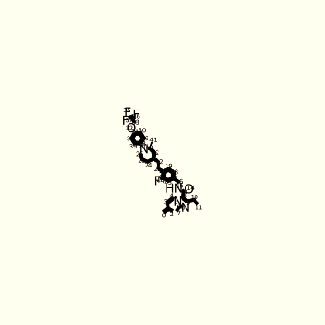 C=C(C)/C=C\n1c(C)nc(CC)c1C(=O)NCc1ccc(CCC2CCCN(c3ccc(OCC(F)(F)F)cc3)[C@@H](C)C2)c(F)c1